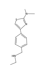 CCNCc1ccc(-c2csc(N(C)C)n2)cc1